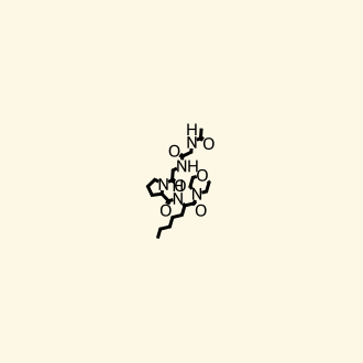 CCCCCC(NC(=O)C1CCCN1C(=O)CNC(=O)CNC(C)=O)C(=O)N1CCOCC1